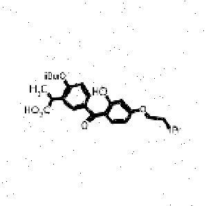 CC(C)CCOc1ccc(C(=O)c2ccc(OCC(C)C)c(C(C)C(=O)O)c2)c(O)c1